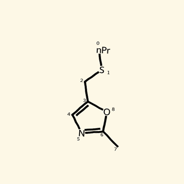 CCCSCc1cnc(C)o1